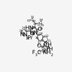 [2H]C([2H])([2H])N(C(=O)C(N)C(F)(F)F)[C@@H]1CCc2cc(NC(=O)[C@@H](NC(=O)c3ccnn3C(C)C)C(C3CC3)C3CC3)ccc21